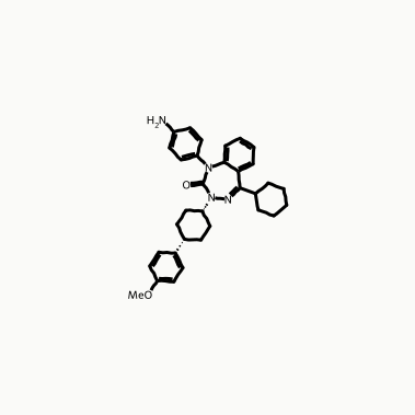 COc1ccc([C@H]2CC[C@@H](N3N=C(C4CCCCC4)c4ccccc4N(c4ccc(N)cc4)C3=O)CC2)cc1